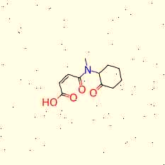 CN(C(=O)/C=C\C(=O)O)C1CCCCC1=O